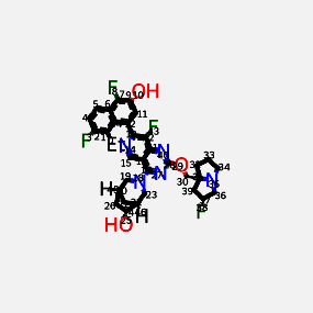 CCc1c(F)ccc2c(F)c(O)cc(-c3ncc4c(N5C[C@@H]6C[C@H](C5)[C@H](O)C6)nc(OC[C@@]56CCCN5C[C@H](F)C6)nc4c3F)c12